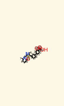 Cc1nc(Cn2c(C)cccc2=O)sc1-c1cccc(-c2ccc(C(=O)O)c(O)c2)c1